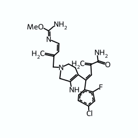 C=C(/C=C\N=C(/N)OC)CN1CCC(/C(=C\C(=C)C(N)=O)c2ccc(Cl)cc2F)=C(N)C1